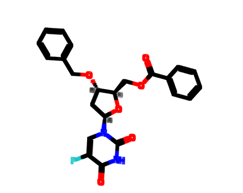 O=C(OC[C@H]1O[C@@H](n2cc(F)c(=O)[nH]c2=O)C[C@@H]1OCc1ccccc1)c1ccccc1